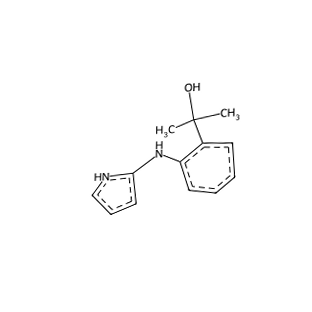 CC(C)(O)c1ccccc1Nc1ccc[nH]1